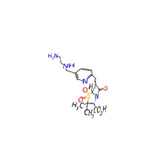 CC1(C)[C@H](C(=O)O)N2C(=O)/C(=C/c3ccc(CNCCN)cn3)[C@H]2S1(=O)=O